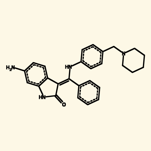 Nc1ccc2c(c1)NC(=O)C2=C(Nc1ccc(CN2CCCCC2)cc1)c1ccccc1